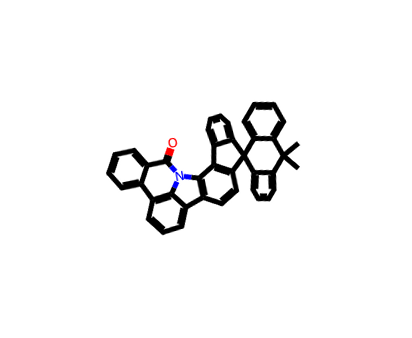 CC1(C)c2ccccc2C2(c3ccccc3-c3c2ccc2c4cccc5c6ccccc6c(=O)n(c32)c54)c2ccccc21